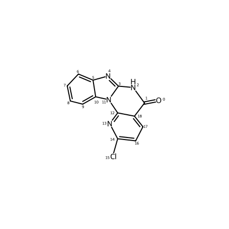 O=c1[nH]c2nc3ccccc3n2c2nc(Cl)ccc12